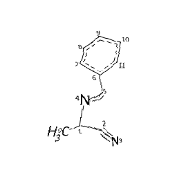 CC(C#N)N=Cc1ccccc1